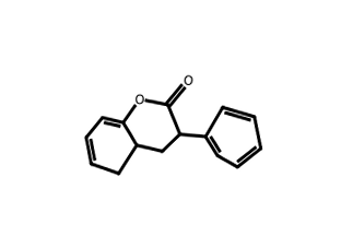 O=C1OC2=CC=CCC2CC1c1ccccc1